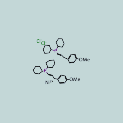 COc1ccc(CC=CP(C2CCCCC2)C2CCCCC2)cc1.COc1ccc(CC=CP(C2CCCCC2)C2CCCCC2)cc1.[Cl-].[Cl-].[Ni+2]